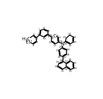 C/C=C(\C=C/CC)c1cccc(C/C=C\C(=C/C)N(C2=CC=CCC2)c2ccc(-c3cccc4ccccc34)cc2)c1